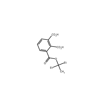 CCC(C)(CC)OC(=O)c1cccc(C(=O)O)c1C(=O)O